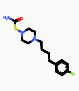 NC(=O)SN1CCN(CCCCc2ccc(F)cc2)CC1